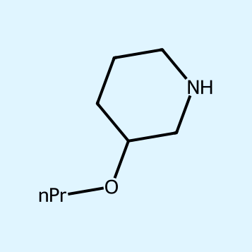 CCCOC1CCCNC1